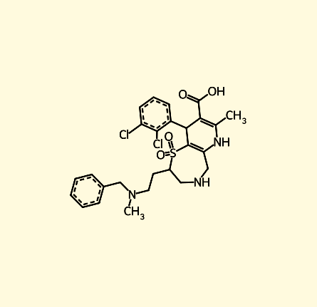 CC1=C(C(=O)O)C(c2cccc(Cl)c2Cl)C2=C(CNCC(CCN(C)Cc3ccccc3)S2(=O)=O)N1